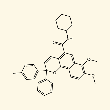 COc1ccc2c3c(c(C(=O)NC4CCCCC4)cc2c1OC)C=CC(c1ccccc1)(c1ccc(C)cc1)O3